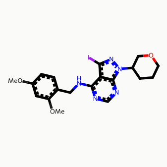 COc1ccc(CNc2ncnc3c2c(I)nn3C2CCCOC2)c(OC)c1